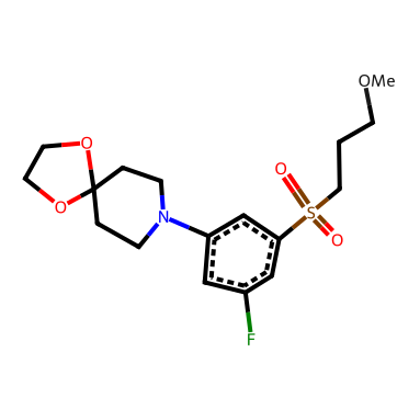 COCCCS(=O)(=O)c1cc(F)cc(N2CCC3(CC2)OCCO3)c1